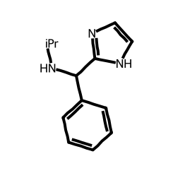 CC(C)NC(c1ccccc1)c1ncc[nH]1